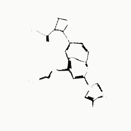 CCOc1cc(-n2cnc(Cl)c2)nc2ccc(C3OCC3C(N)=O)cc12